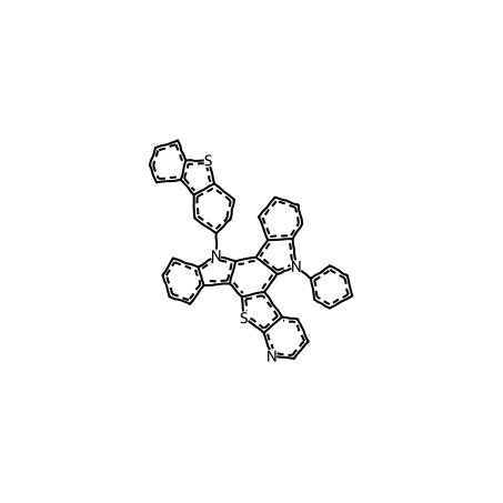 c1ccc(-n2c3ccccc3c3c4c(c5ccccc5n4-c4ccc5sc6ccccc6c5c4)c4sc5ncccc5c4c32)cc1